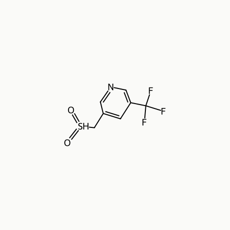 O=[SH](=O)Cc1cncc(C(F)(F)F)c1